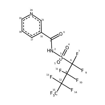 O=C(NS(=O)(=O)C(F)(F)C(F)(F)C(F)(F)C(F)(F)F)c1cccnc1